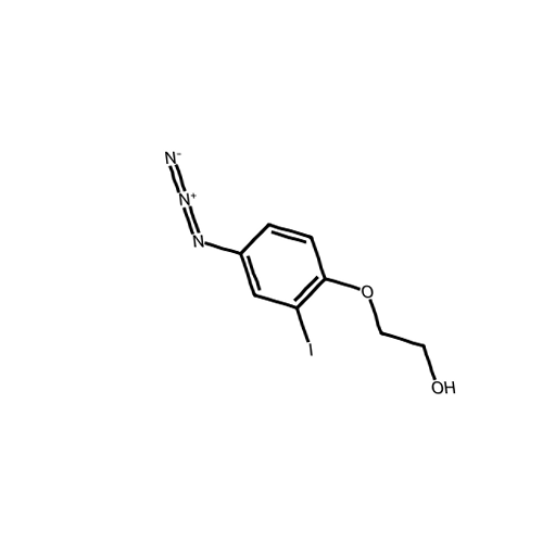 [N-]=[N+]=Nc1ccc(OCCO)c(I)c1